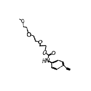 C#Cc1ccc(NC(=O)OCCOCCOCCOC)cc1